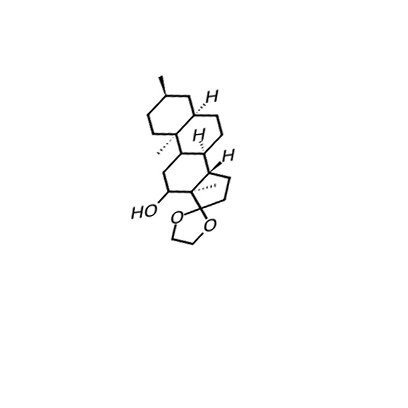 C[C@@H]1CC[C@]2(C)C3CC(O)[C@@]4(C)[C@@H](CCC45OCCO5)[C@@H]3CC[C@@H]2C1